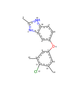 Cc1nc2cc(Oc3cc(C)c(Cl)c(C)c3)ccc2[nH]1